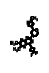 Cc1nc2nc(N3CCOC(c4cnn(C)c4)C3)nc(C3CC(F)(F)C3)c2nc1C